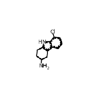 NC1CCc2[nH]c3c(Cl)cccc3c2C1